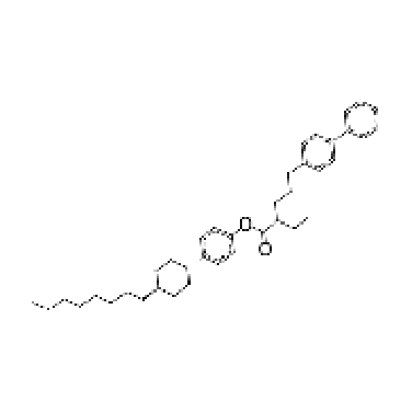 CCCCCCCC[C@H]1CC[C@H](c2ccc(OC(=O)C(CC)CCCc3ccc(-c4ccccc4)cc3)cc2)CC1